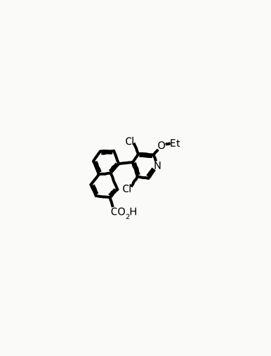 CCOc1ncc(Cl)c(-c2cccc3ccc(C(=O)O)cc23)c1Cl